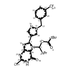 CCCC(OC(=O)C(C)(C)C)n1c(-c2cnn(Cc3cccc(C(F)(F)F)c3)c2)nc2nc(Cl)[nH]c(=O)c21